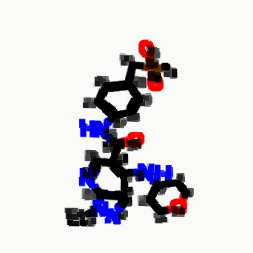 CCn1ncc2c(NC3CCOCC3)c(C(=O)Nc3ccc(CS(C)(=O)=O)cc3)cnc21